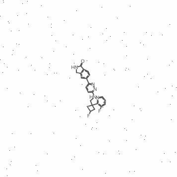 O=C1NCc2cc(-c3ccc(NCC4(c5ncccc5F)CC(F)C4)nn3)ccc21